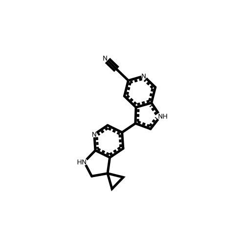 N#Cc1cc2c(-c3cnc4c(c3)C3(CC3)CN4)c[nH]c2cn1